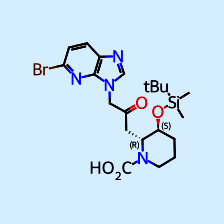 CC(C)(C)[Si](C)(C)O[C@H]1CCCN(C(=O)O)[C@@H]1CC(=O)Cn1cnc2ccc(Br)nc21